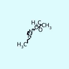 C=C(C)C(=O)OCC[n+]1ccn(CCCC)c1